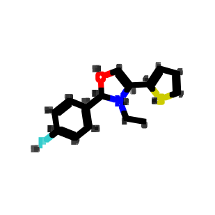 CCN1C(c2cccs2)=[C]OC1c1ccc(F)cc1